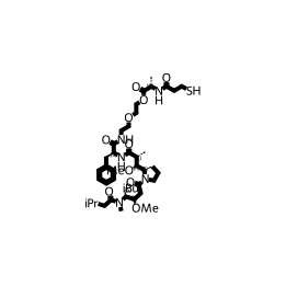 CC[C@H](C)C([C@@H](CC(=O)N1CCC[C@H]1[C@H](OC)[C@@H](C)C(=O)N[C@@H](Cc1ccccc1)C(=O)NCCOCCOC(=O)[C@H](C)NC(=O)CCS)OC)N(C)C(=O)CC(C)C